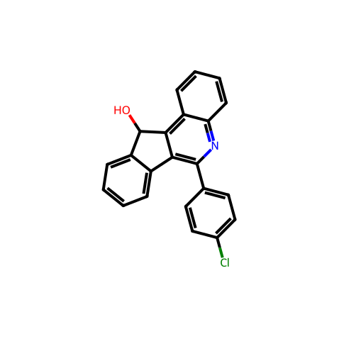 OC1c2ccccc2-c2c(-c3ccc(Cl)cc3)nc3ccccc3c21